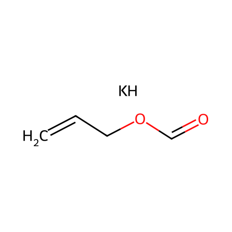 C=CCOC=O.[KH]